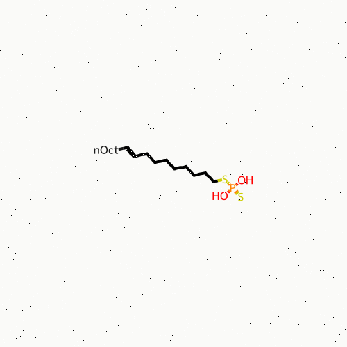 CCCCCCCCC=CCCCCCCCCSP(O)(O)=S